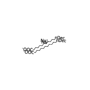 CCCCCCCCCCCCCCCCCCCCCC(=O)[O-].CCCCCCCCCCCCCCCCCCCCCC(=O)[O-].[Na+].[Na+]